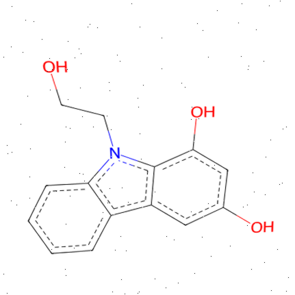 OCCn1c2ccccc2c2cc(O)cc(O)c21